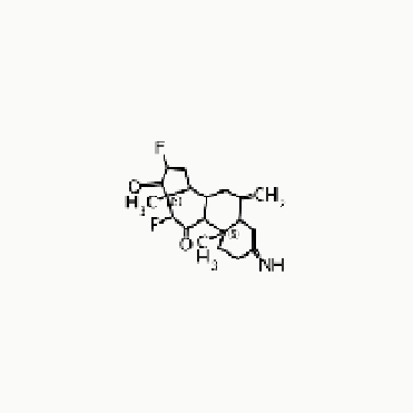 C=C1CC2C(C(=O)C(F)[C@]3(C)C(=O)C(F)CC23)[C@@]2(C)CCC(=N)CC12